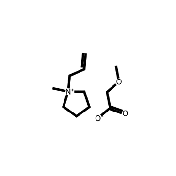 C=CC[N+]1(C)CCCC1.COCC(=O)[O-]